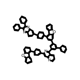 c1ccc(-c2cc(-c3cc(-c4ccc(-c5ccc6nc(-c7ccccc7)c(-c7ccccc7)nc6c5)cc4)c4c(c3)oc3ccccc34)cc(-c3nc(-c4ccc(-c5cccc6oc7ccccc7c56)cc4)cc4ncccc34)c2)cc1